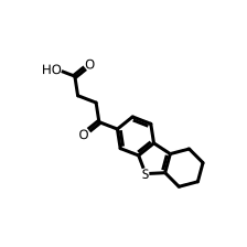 O=C(O)CCC(=O)c1ccc2c3c(sc2c1)CCCC3